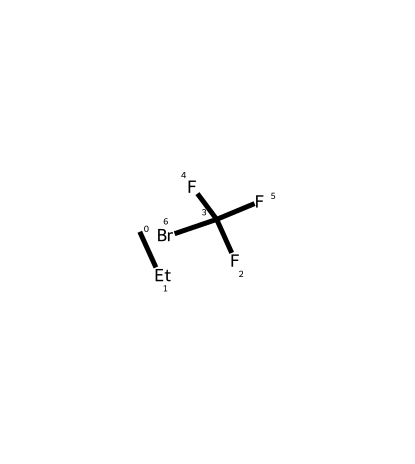 CCC.FC(F)(F)Br